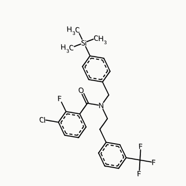 C[Si](C)(C)c1ccc(CN(CCc2cccc(C(F)(F)F)c2)C(=O)c2cccc(Cl)c2F)cc1